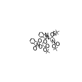 CN1c2ccccc2C(OC[C@H](ON2C(=O)c3ccccc3C2=O)C(=O)OC(C)(C)C)N1[C@@H]1CN(C(=O)OC(C)(C)C)C[C@@H]1O[Si](C)(C)C(C)(C)C